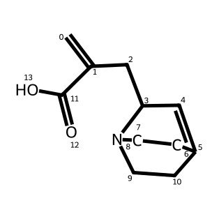 C=C(CC1C=C2CCN1CC2)C(=O)O